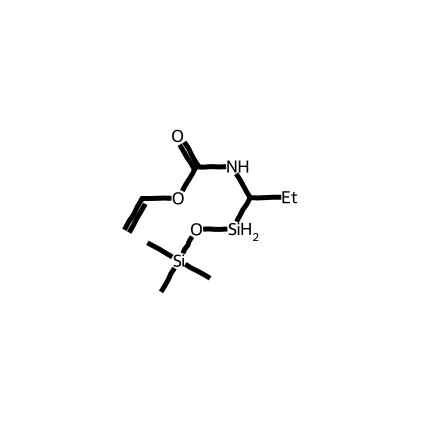 C=COC(=O)NC(CC)[SiH2]O[Si](C)(C)C